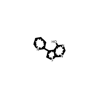 Oc1ncnc2scc(-c3ccccn3)c12